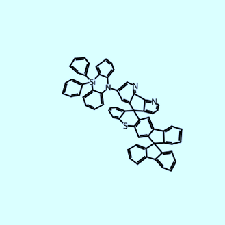 c1ccc([Si]2(c3ccccc3)c3ccccc3N(c3cnc4c(c3)C3(c5ccccc5Sc5cc6c(cc53)-c3ccccc3C63c5ccccc5-c5ccccc53)c3cccnc3-4)c3ccccc32)cc1